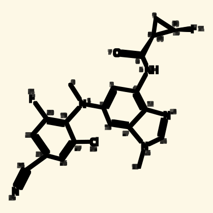 CN(c1cc(NC(=O)[C@H]2C[C@H]2F)c2ncn(C)c2c1)c1c(F)cc(C#N)cc1Cl